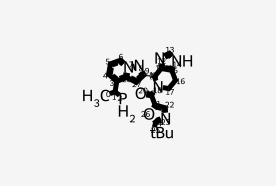 CC(P)c1cccn2nc([C@@H]3c4nc[nH]c4CCN3C(=O)c3cnc(C(C)(C)C)o3)cc12